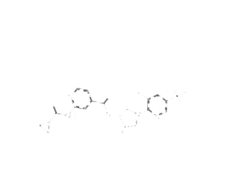 O=C(N[C@@H]1CN(c2ncc(C(F)(F)F)cc2Cl)C[C@H]1O)c1ccnc(NC(=O)C2CC2)c1